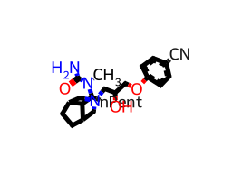 CCCCCC(C1C2CCC1CN(CC(O)COc1ccc(C#N)cc1)C2)N(C)C(N)=O